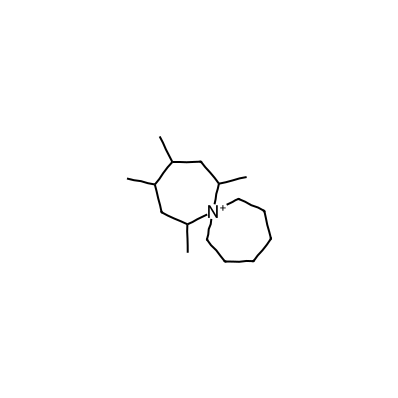 CC1CC(C)[N+]2(CCCCCC2)C(C)CC1C